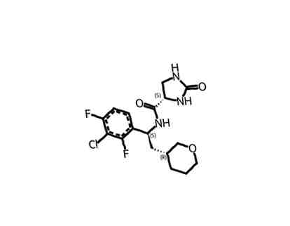 O=C1NC[C@@H](C(=O)N[C@@H](C[C@H]2CCCOC2)c2ccc(F)c(Cl)c2F)N1